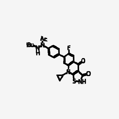 CCC(C)NN(C(C)=O)c1ccc(-c2cc3c(cc2F)c(=O)c2c(=O)[nH]sc2n3C2CC2)cc1